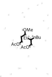 CCCCC(CC)COC(C)=O.COCCCOC(C)=O